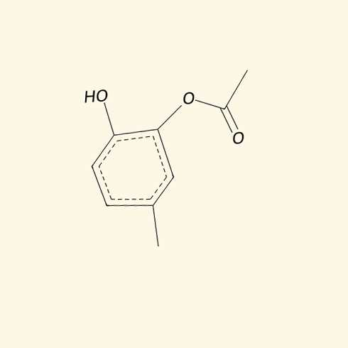 CC(=O)Oc1cc(C)ccc1O